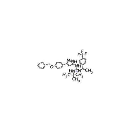 C=C(/N=C(\Nc1cc(-c2ccc(OCc3ccccc3)cc2)n[nH]1)NC(C)(C)C)c1ccc(C(F)(F)F)cc1